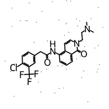 CN(C)CCn1ccc2c(NC(=O)Cc3ccc(Cl)c(C(F)(F)F)c3)cccc2c1=O